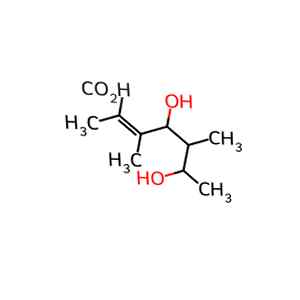 CC(C(=O)O)=C(C)C(O)C(C)C(C)O